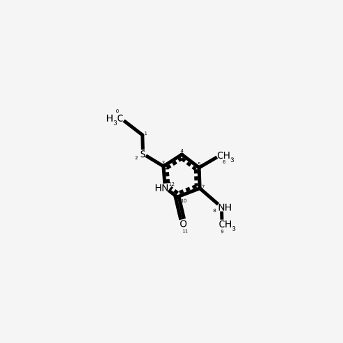 CCSc1cc(C)c(NC)c(=O)[nH]1